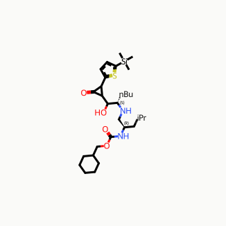 CCCC[C@H](NC[C@@H](CC(C)C)NC(=O)OCC1CCCCC1)C(O)C1C(=O)C1c1ccc([Si](C)(C)C)s1